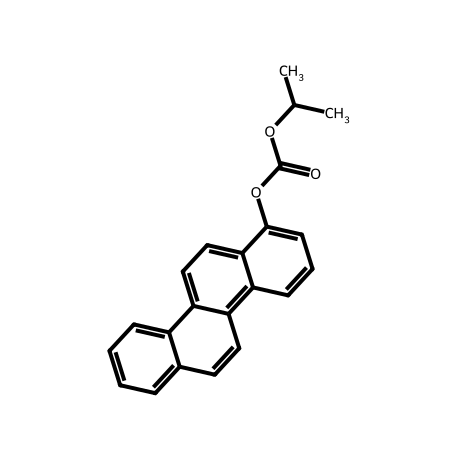 CC(C)OC(=O)Oc1cccc2c1ccc1c3ccccc3ccc21